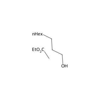 CCCCCCCCCO.CCOC(C)=O